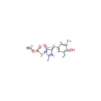 CC1=N/C(=C\c2cc(F)c(O)c(F)c2)C(=O)N1CC(=O)OC(C)(C)C